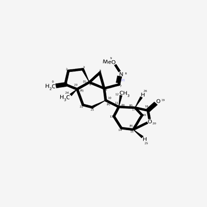 C=C1CC[C@@]23CC2(/C=N\OC)[C@@H]([C@@]2(C)CC[C@@H]4C[C@H]2C(=O)O4)CC[C@]13C